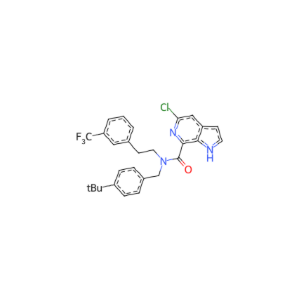 CC(C)(C)c1ccc(CN(CCc2cccc(C(F)(F)F)c2)C(=O)c2nc(Cl)cc3cc[nH]c23)cc1